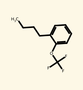 C[CH]CCc1ccccc1OC(F)(F)F